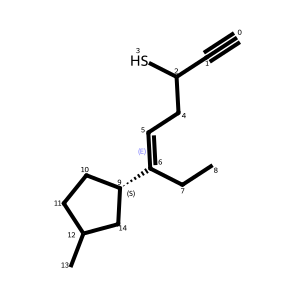 C#CC(S)C/C=C(\CC)[C@H]1CCC(C)C1